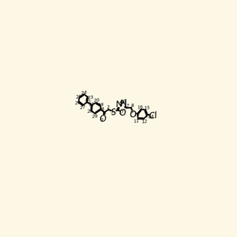 O=C(CSc1nnc(COc2ccc(Cl)cc2)o1)c1ccc(-c2ccccc2)cc1